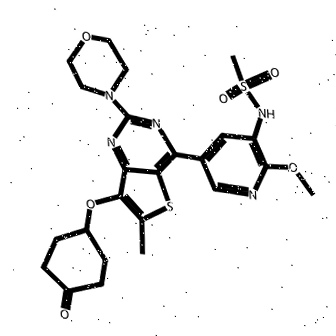 COc1ncc(-c2nc(N3CCOCC3)nc3c(OC4CCC(=O)CC4)c(C)sc23)cc1NS(C)(=O)=O